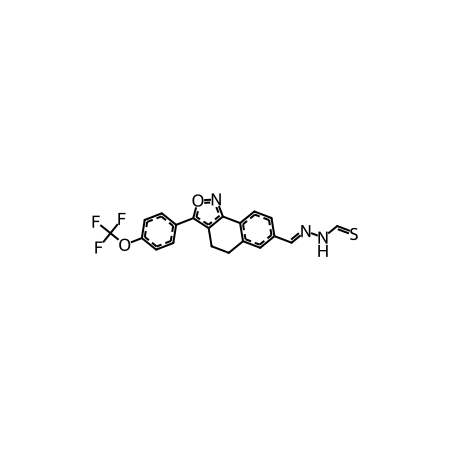 FC(F)(F)Oc1ccc(-c2onc3c2CCc2cc(/C=N/NC=S)ccc2-3)cc1